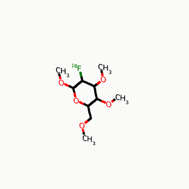 COCC1OC(OC)C([18F])C(OC)C1OC